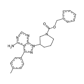 Cc1ccc(-c2nn(C3CCCN(C(=O)OCc4ccccc4)C3)c3ncnc(N)c23)cc1